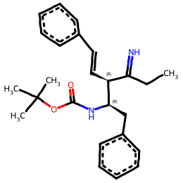 CCC(=N)[C@H](C=Cc1ccccc1)[C@@H](Cc1ccccc1)NC(=O)OC(C)(C)C